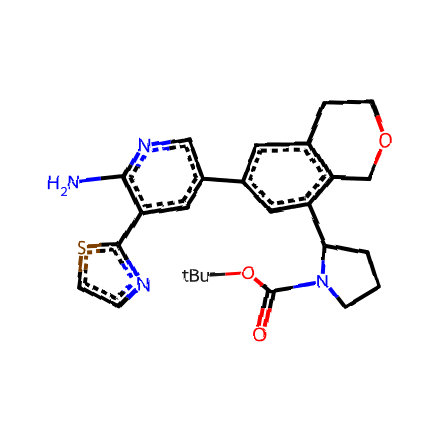 CC(C)(C)OC(=O)N1CCCC1c1cc(-c2cnc(N)c(-c3nccs3)c2)cc2c1COCC2